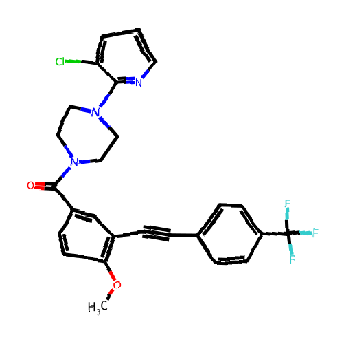 COc1ccc(C(=O)N2CCN(c3ncccc3Cl)CC2)cc1C#Cc1ccc(C(F)(F)F)cc1